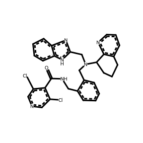 O=C(NCc1ccccc1CN(Cc1nc2ccccc2[nH]1)C1CCCc2cccnc21)c1c(Cl)cncc1Cl